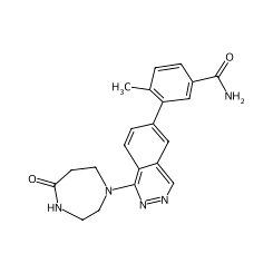 Cc1ccc(C(N)=O)cc1-c1ccc2c(N3CCNC(=O)CC3)nncc2c1